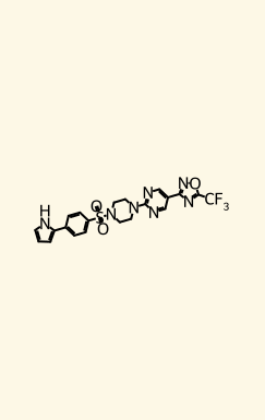 O=S(=O)(c1ccc(-c2ccc[nH]2)cc1)N1CCN(c2ncc(-c3noc(C(F)(F)F)n3)cn2)CC1